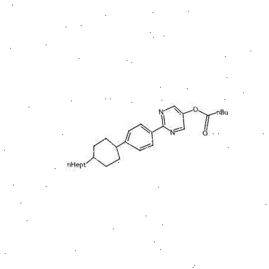 CCCCCCCC1CCC(c2ccc(-c3ncc(OC(=O)CCCC)cn3)cc2)CC1